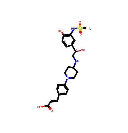 CS(=O)(=O)Nc1cc([C@@H](O)CNC2CCN(c3ccc(C=CC(=O)O)cc3)CC2)ccc1O